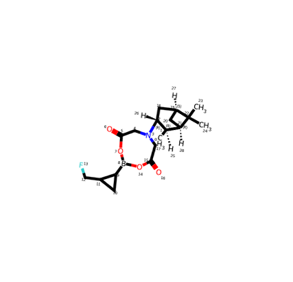 C[C@H]1[C@H](N2CC(=O)OB(C3CC3CF)OC(=O)C2)C[C@@H]2C[C@H]1C2(C)C